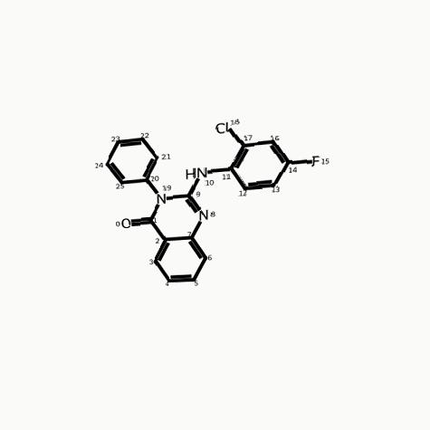 O=c1c2ccccc2nc(Nc2ccc(F)cc2Cl)n1-c1ccccc1